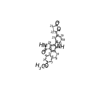 COc1ccc2c(c1)CCc1c-2c2c(c3c1[nH]c1ccc(C4CCC(=O)O4)cc13)CNC2=O